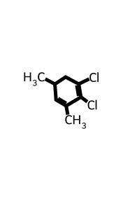 CC1=CC(C)CC(Cl)=C1Cl